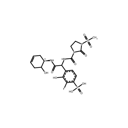 CS(=O)(=O)N1CCN(C(=O)NC(C(=O)N[C@@H]2CC=CCC2O)c2ccc(P(=O)(O)O)c(F)c2O)C1=O